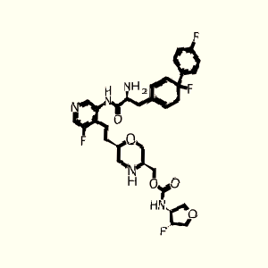 N[C@@H](CC1=CCC(F)(c2ccc(F)cc2)C=C1)C(=O)Nc1cncc(F)c1CC[C@@H]1CN[C@H](COC(=O)N[C@@H]2COC[C@@H]2F)CO1